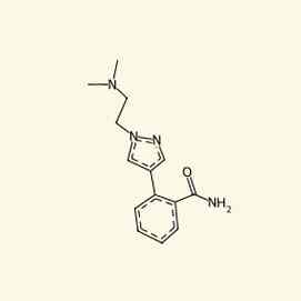 CN(C)CCn1cc(-c2ccccc2C(N)=O)cn1